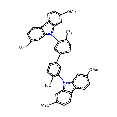 COc1ccc2c3ccc(OC)cc3n(-c3cc(-c4ccc(C(F)(F)F)c(-n5c6cc(OC)ccc6c6ccc(OC)cc65)c4)ccc3C(F)(F)F)c2c1